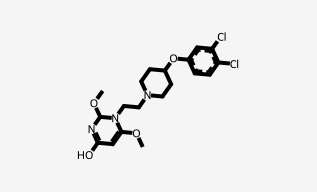 COC1=CC(O)=NC(OC)N1CCN1CCC(Oc2ccc(Cl)c(Cl)c2)CC1